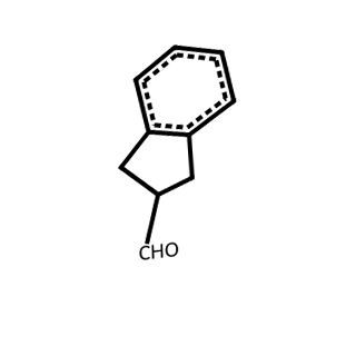 O=CC1Cc2ccccc2C1